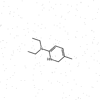 CCN(CC)C1=CC=C(C)CN1